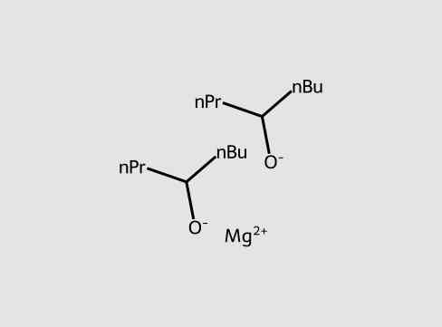 CCCCC([O-])CCC.CCCCC([O-])CCC.[Mg+2]